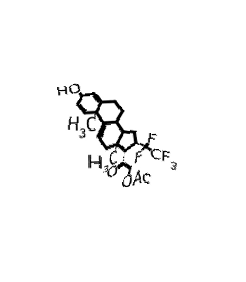 CC(=O)OCC(=O)[C@H]1[C@H](C(F)(F)C(F)(F)F)CC2C3CCC4=CC(O)C=C[C@]4(C)C3=CC[C@@]21C